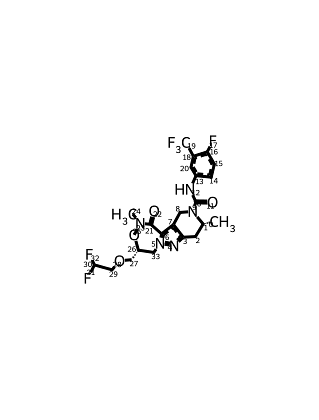 C[C@@H]1Cc2nn3c(c2CN1C(=O)Nc1ccc(F)c(C(F)(F)F)c1)C(=O)N(C)O[C@@H](COCC(F)F)C3